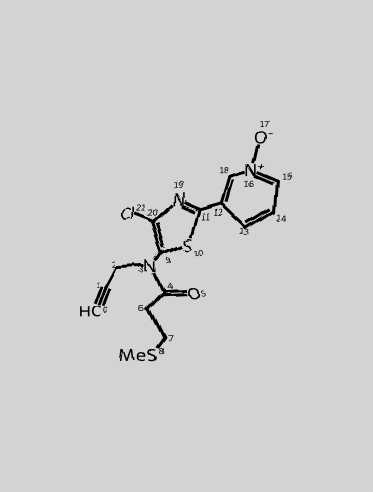 C#CCN(C(=O)CCSC)c1sc(-c2ccc[n+]([O-])c2)nc1Cl